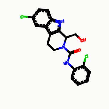 O=C(Nc1ccccc1Cl)N1CCc2c([nH]c3ccc(Cl)cc23)C1CO